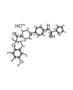 COc1c(C)c(C)c2c(c1C)CCC(C)(C(=O)N1CCN(c3ccc(NC(=N)c4cccs4)cc3)CC1)O2.Cl